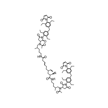 C=CC(CC/C=C/CC(=O)NCCCC(C)CN(C(C)=O)C1CC(=O)N(c2c(CC)cc(Cc3cc(CC)c(N4C(=O)C=CC4=O)c(CC)c3)cc2CC)C1=O)CC(C#N)C(=O)NCCCC(C)CN(C(C)=O)C1CC(=O)N(c2c(CC)cc(Cc3cc(CC)c(N4C(=O)C=CC4=O)c(CC)c3)cc2CC)C1=O